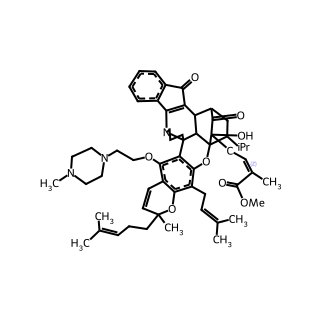 COC(=O)/C(C)=C\CC1(O)C(=O)C2CC(C(C)C)C13Oc1c(CC=C(C)C)c4c(c(OCCN5CCN(C)CC5)c1C15CCCN1C1=C(C(=O)c6ccccc61)C2C53)C=CC(C)(CCC=C(C)C)O4